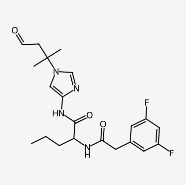 CCCC(NC(=O)Cc1cc(F)cc(F)c1)C(=O)Nc1cn(C(C)(C)CC=O)cn1